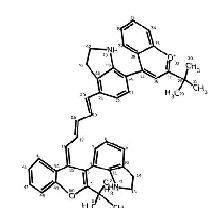 CC(C)(C)C1=C(c2cccc3c2NCC3)C(=CC=CC=Cc2ccc(-c3cc(C(C)(C)C)[o+]c4ccccc34)c3c2CCN3)c2ccccc2O1